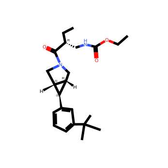 CCOC(=O)NC[C@@H](CC)C(=O)N1C[C@@H]2[C@H](C1)[C@H]2c1cccc(C(C)(C)C)c1